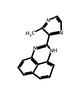 Cc1nccnc1C1=Nc2cccc3cccc(c23)N1